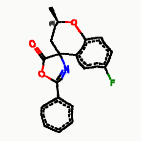 C[C@@H]1CC2(N=C(c3ccccc3)OC2=O)c2cc(F)ccc2O1